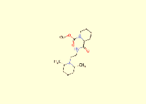 C[C@@H]1CCC[C@H](C)N1CCNC(=O)[C@@H]1CCCCN1C(=O)OC(C)(C)C